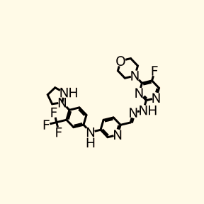 Fc1cnc(N/N=C/c2ccc(Nc3ccc(N4CCCN4)c(C(F)(F)F)c3)cn2)nc1N1CCOCC1